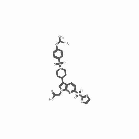 CC(C)Oc1ccc(S(=O)(=O)N2CCC(c3cn(CC(=O)O)c4nc(S(=O)(=O)c5ncco5)ccc34)CC2)cc1